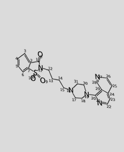 O=C1c2ccccc2S(=O)(=O)N1CCCCN1CCN(c2nccc3ccncc23)CC1